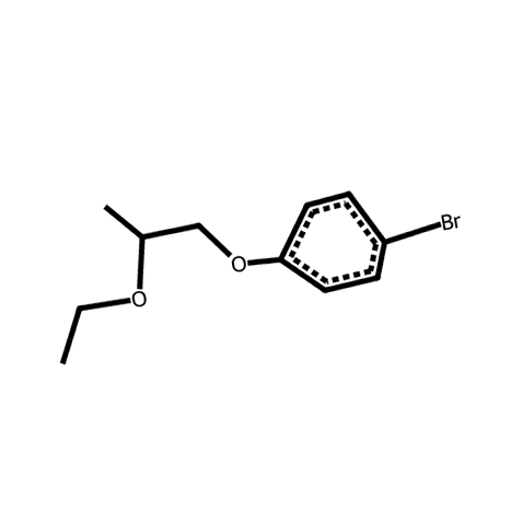 CCOC(C)COc1ccc(Br)cc1